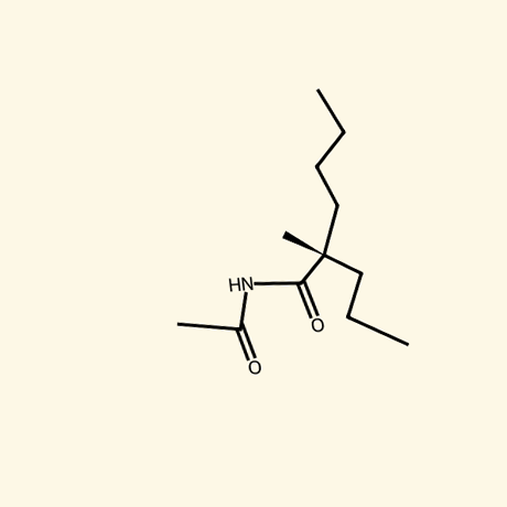 CCCC[C@](C)(CCC)C(=O)NC(C)=O